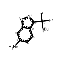 CCCCC(C)(F)c1noc2cc(N)ccc12